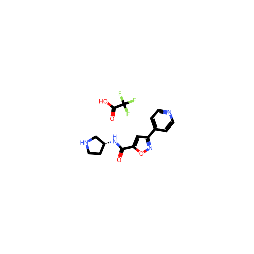 O=C(N[C@@H]1CCNC1)c1cc(-c2ccncc2)no1.O=C(O)C(F)(F)F